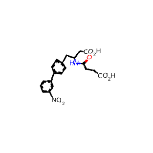 O=C(O)CCC(=O)NC(CC(=O)O)Cc1ccc(-c2cccc([N+](=O)[O-])c2)cc1